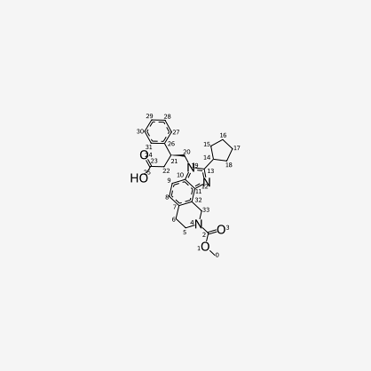 COC(=O)N1CCc2ccc3c(nc(C4CCCC4)n3C[C@@H](CC(=O)O)c3ccccc3)c2C1